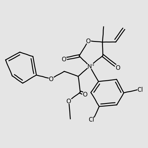 C=CC1(C)OC(=O)[N+](c2cc(Cl)cc(Cl)c2)(C(COc2ccccc2)C(=O)OC)C1=O